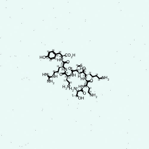 C[C@@H](O)[C@H](N)C(=O)N[C@H](CCN)C(=O)N[C@@H](CCCCN)C(=O)N[C@@H](CS)C(=O)N[C@@H](CCN)C(=O)N[C@@H](CCCNC(=N)N)C(=O)N[C@@H](Cc1ccc(O)cc1)C(=O)O